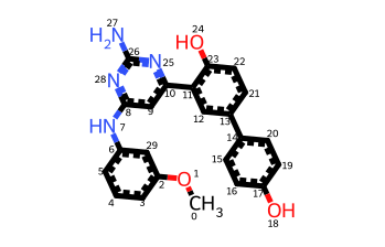 COc1cccc(Nc2cc(-c3cc(-c4ccc(O)cc4)ccc3O)nc(N)n2)c1